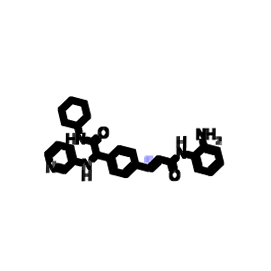 Nc1ccccc1NC(=O)/C=C/c1ccc(C(Nc2cccnc2)C(=O)NC2CCCCC2)cc1